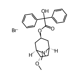 CO[C@H]1C[C@@H]2C[C@H](OC(=O)C(O)(c3ccccc3)c3ccccc3)C[C@H]1[N+]2(C)C.[Br-]